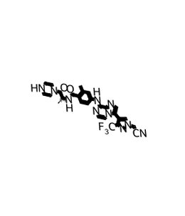 Cc1cc(Nc2nccn3c(-c4cn(CC#N)nc4C(F)(F)F)cnc23)ccc1C(=O)N[C@H](C)C(=O)N1CCNCC1